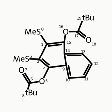 CSc1c(SC)c(OC(=O)C(C)(C)C)c2ccccc2c1OC(=O)C(C)(C)C